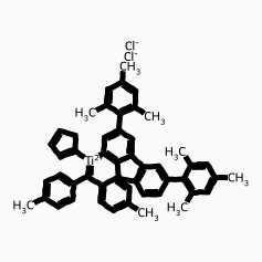 Cc1ccc([C](c2ccc(C)cc2)=[Ti+2]([C]2=CC=CC2)[c]2cc(-c3c(C)cc(C)cc3C)cc3c2Cc2ccc(-c4c(C)cc(C)cc4C)cc2-3)cc1.[Cl-].[Cl-]